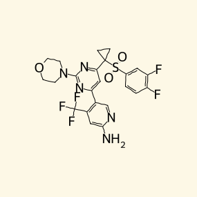 Nc1cc(C(F)(F)F)c(-c2cc(C3(S(=O)(=O)c4ccc(F)c(F)c4)CC3)nc(N3CCOCC3)n2)cn1